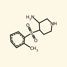 Cc1ccccc1S(=O)(=O)C1CCNCC1N